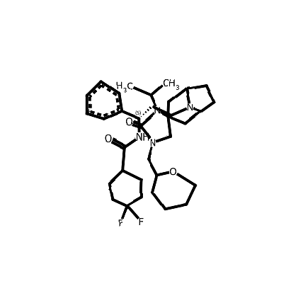 CC(C)N1C(=O)N(CC2CCCCO2)CC12CC1CCC(C2)N1CC[C@H](NC(=O)C1CCC(F)(F)CC1)c1ccccc1